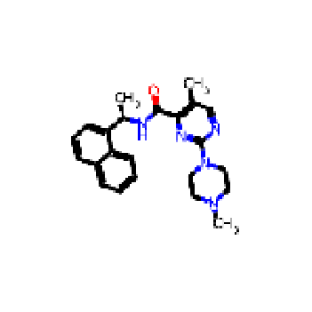 Cc1cnc(N2CCN(C)CC2)nc1C(=O)N[C@H](C)c1cccc2ccccc12